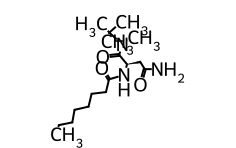 CCCCCCCC(=O)N[C@H](CC(N)=O)C(=O)N(C)C(C)(C)C